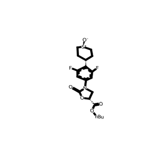 CCCCOC(=O)[C@H]1CN(c2cc(F)c([C@H]3CC[S@+]([O-])CC3)c(F)c2)C(=O)O1